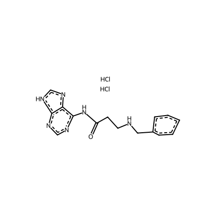 Cl.Cl.O=C(CCNCc1ccccc1)Nc1ncnc2[nH]cnc12